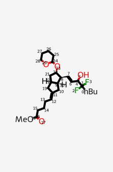 CCCCC(F)(F)C(O)C=C[C@H]1[C@H]2CC(=CCCCC(=O)OC)C[C@H]2C[C@H]1OC1CCCCO1